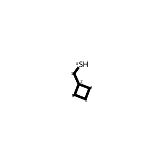 SCC1CCC1